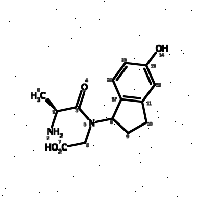 C[C@H](N)C(=O)N(CC(=O)O)C1CCc2cc(O)ccc21